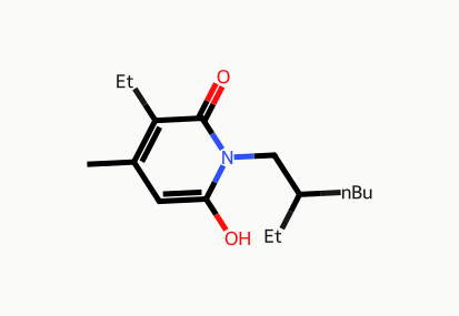 CCCCC(CC)Cn1c(O)cc(C)c(CC)c1=O